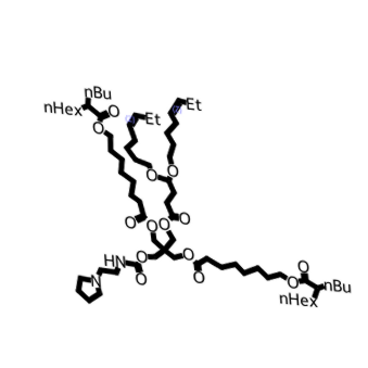 CC/C=C\CCCCOC(CCC(=O)OCC(COC(=O)CCCCCCCOC(=O)C(CCCC)CCCCCC)(COC(=O)CCCCCCCOC(=O)C(CCCC)CCCCCC)COC(=O)NCCN1CCCC1)OCCCC/C=C\CC